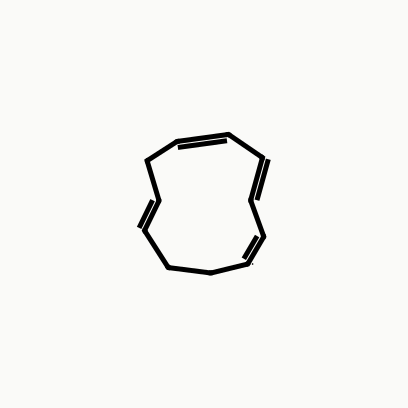 [C]1=C/C=C/C=C\C/C=C/CC\1